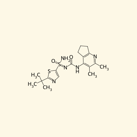 Cc1nc2c(c(NC(=O)N=S(N)(=O)c3cnc(C(C)(C)C)s3)c1C)CCC2